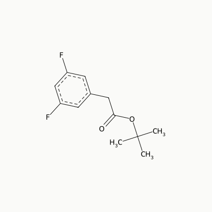 CC(C)(C)OC(=O)Cc1cc(F)cc(F)c1